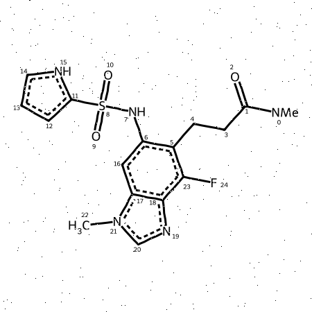 CNC(=O)CCc1c(NS(=O)(=O)c2ccc[nH]2)cc2c(ncn2C)c1F